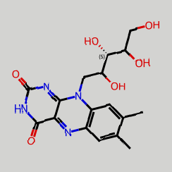 Cc1cc2nc3c(=O)[nH]c(=O)nc-3n(CC(O)[C@H](O)C(O)CO)c2cc1C